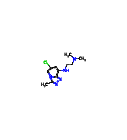 Cc1nnc2c(NCCN(C)C)cc(Cl)cn12